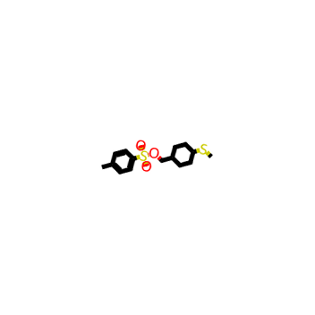 CSC1CCC(COS(=O)(=O)c2ccc(C)cc2)CC1